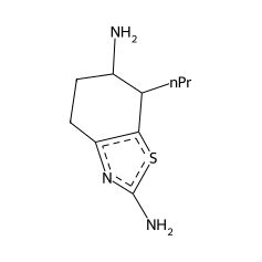 CCCC1c2sc(N)nc2CCC1N